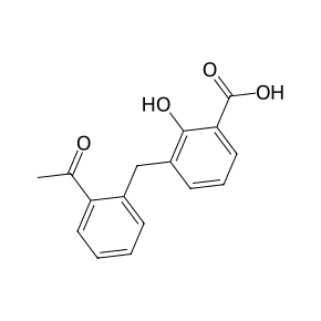 CC(=O)c1ccccc1Cc1cccc(C(=O)O)c1O